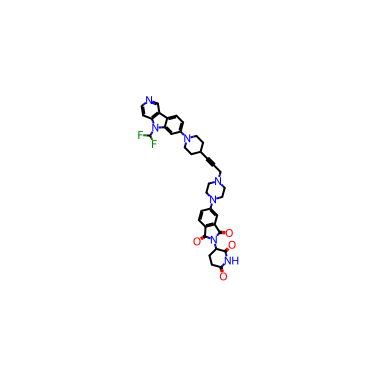 O=C1CCC(N2C(=O)c3ccc(N4CCN(CC#CC5CCN(c6ccc7c8cnccc8n(C(F)F)c7c6)CC5)CC4)cc3C2=O)C(=O)N1